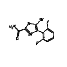 NC(=O)c1nc(-c2c(F)cccc2F)c(Br)s1